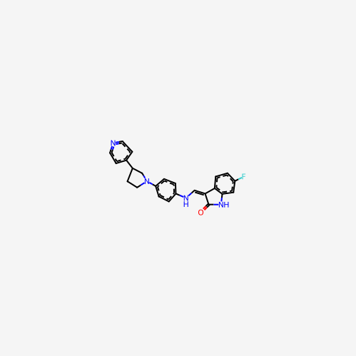 O=C1Nc2cc(F)ccc2/C1=C/Nc1ccc(N2CCC(c3ccncc3)C2)cc1